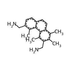 Cc1c(CN)c(C)c2c(ccc3ccc(CN)c(C)c32)c1C